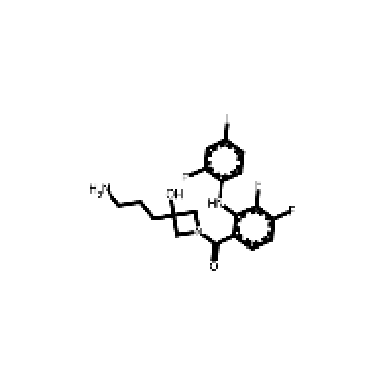 NCCCC1(O)CN(C(=O)c2ccc(F)c(F)c2Nc2ccc(I)cc2F)C1